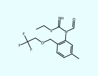 CCSC(=N)N(C=O)c1cc(C)ccc1COCC(F)(F)F